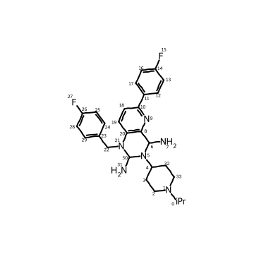 CC(C)N1CCC(N2C(N)c3nc(-c4ccc(F)cc4)ccc3N(Cc3ccc(F)cc3)C2N)CC1